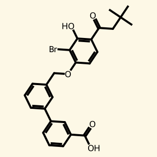 CC(C)(C)CC(=O)c1ccc(OCc2cccc(-c3cccc(C(=O)O)c3)c2)c(Br)c1O